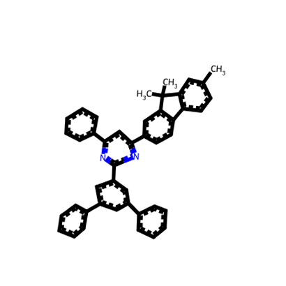 Cc1ccc2c(c1)C(C)(C)c1cc(-c3cc(-c4ccccc4)nc(-c4cc(-c5ccccc5)cc(-c5ccccc5)c4)n3)ccc1-2